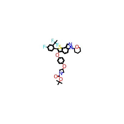 CC(C)(C)OC(=O)N1CC(Oc2ccc(Oc3c(-c4ccc(F)cc4C(C)(F)F)sc4c3ccc3c4cnn3C3CCCCO3)cc2)C1